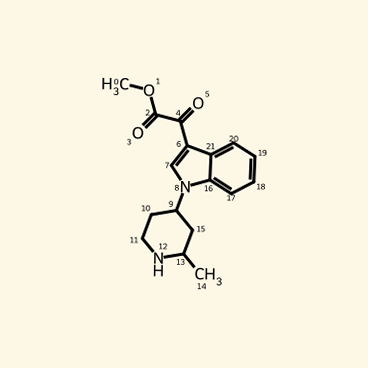 COC(=O)C(=O)c1cn(C2CCNC(C)C2)c2ccccc12